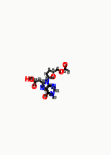 CC(=O)OC[C@@H]1CC[C@H](n2c(CC(=O)O)nc3c(=O)n(C)cnc32)O1